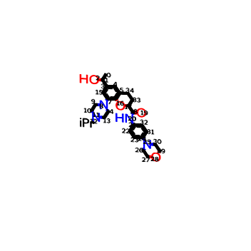 CC(O)c1cc2c(c(N3CCN(C(C)C)CC3)c1)OC(C(=O)Nc1ccc(N3CCOCC3)cc1)CC2